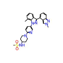 Cc1cccc2c(-c3cccc4nn(C)cc34)nn(-c3ccc(N4CCC(NS(C)(=O)=O)CC4)nc3)c12